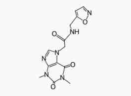 Cn1c(=O)c2c(ncn2CC(=O)NCc2ccno2)n(C)c1=O